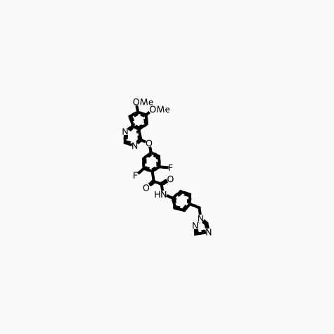 COc1cc2ncnc(Oc3cc(F)c(C(=O)C(=O)Nc4ccc(Cn5cncn5)cc4)c(F)c3)c2cc1OC